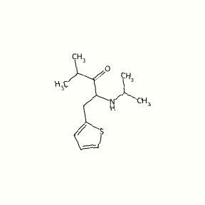 CC(C)NC(Cc1cccs1)C(=O)C(C)C